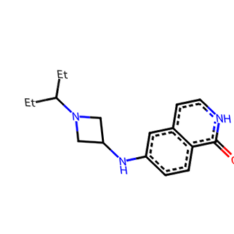 CCC(CC)N1CC(Nc2ccc3c(=O)[nH]ccc3c2)C1